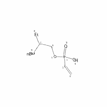 C=CP(=O)(O)OCC(CC)CCCC